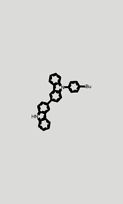 CCC(C)c1ccc(-n2c3ccccc3c3cc(-c4ccc5[nH]c6ccccc6c5c4)ccc32)cc1